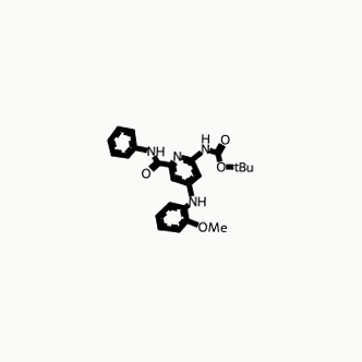 COc1ccccc1Nc1cc(NC(=O)OC(C)(C)C)nc(C(=O)Nc2ccccc2)c1